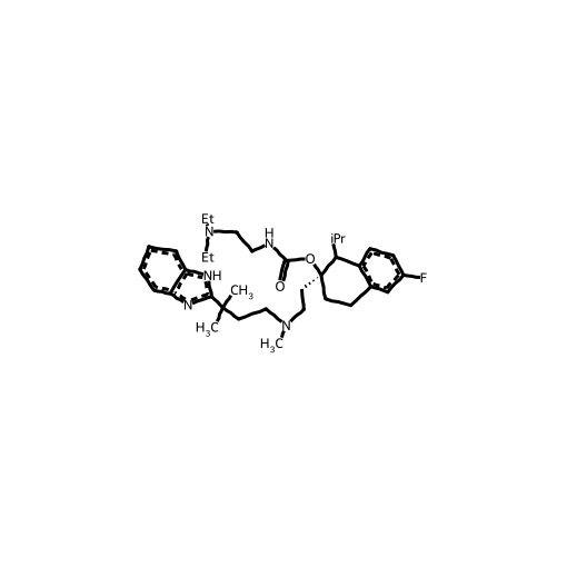 CCN(CC)CCNC(=O)O[C@]1(CCN(C)CCC(C)(C)c2nc3ccccc3[nH]2)CCc2cc(F)ccc2C1C(C)C